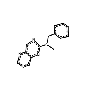 CN(Cc1ccccc1)c1ncc2ncncc2n1